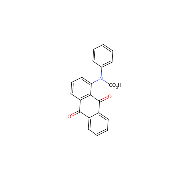 O=C1c2ccccc2C(=O)c2c1cccc2N(C(=O)O)c1ccccc1